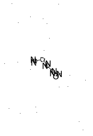 CN(C)C(=O)Cn1cc(-c2cnc(-c3cccc(-c4cnn(C)c4)c3)nc2)cn1